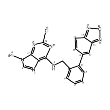 CC(C)n1cnc2c(NCc3ccccc3-c3ccc4nonc4c3)nc(Cl)nc21